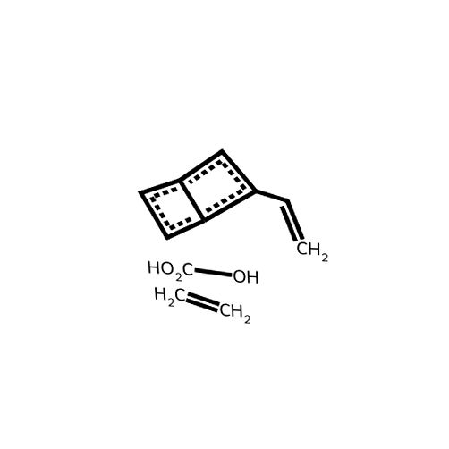 C=C.C=Cc1cc2ccc1-2.O=C(O)O